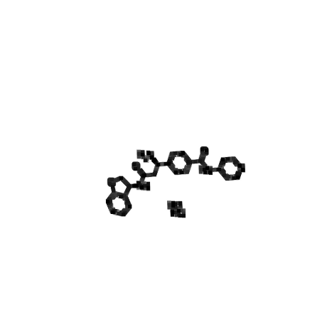 Cl.Cl.N[C@H](CC(=O)N[C@@H]1COc2ccccc21)c1ccc(C(=O)Nc2ccncc2)cc1